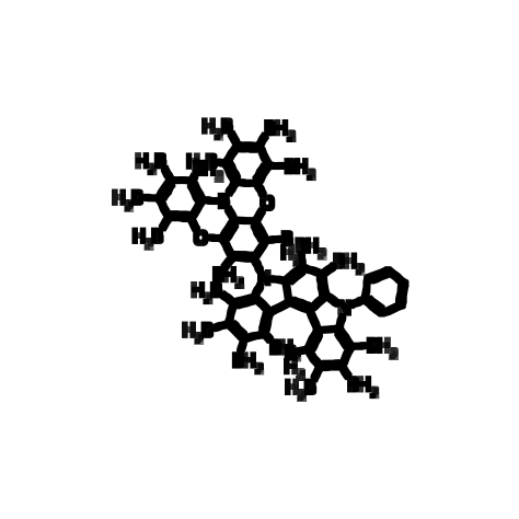 Bc1c(B)c(B)c2c(c1B)Oc1c(B)c(-n3c4c(B)c(B)c(B)c(B)c4c4c5c6c(B)c(B)c(B)c(B)c6n(-c6ccccc6)c5c(B)c(B)c43)c(B)c3c1B2c1c(B)c(B)c(B)c(B)c1O3